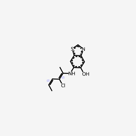 C/C=C\C(Cl)=C(/C)Nc1cc2scnc2cc1O